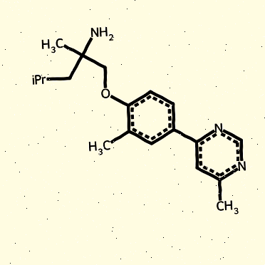 Cc1cc(-c2ccc(OCC(C)(N)CC(C)C)c(C)c2)ncn1